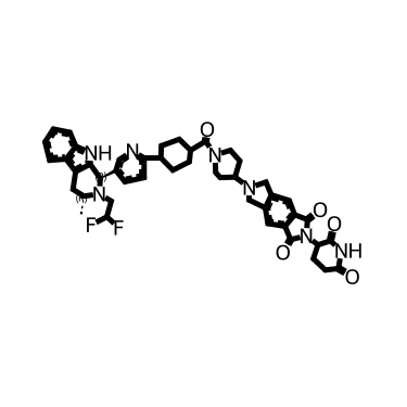 C[C@@H]1Cc2c([nH]c3ccccc23)[C@@H](c2ccc(C3CCC(C(=O)N4CCC(N5Cc6cc7c(cc6C5)C(=O)N(C5CCC(=O)NC5=O)C7=O)CC4)CC3)nc2)N1CC(F)F